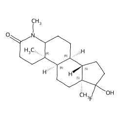 CN1C(=O)CC[C@@]2(C)C1CC[C@@H]1[C@H]2CC[C@@]2(C)[C@H]1CCC2(O)F